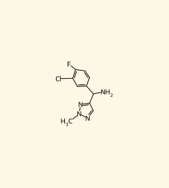 Cn1ncc(C(N)c2ccc(F)c(Cl)c2)n1